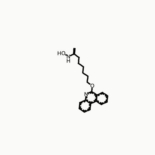 C=C(CCCCCCOc1nc2ccccc2c2ccccc12)NO